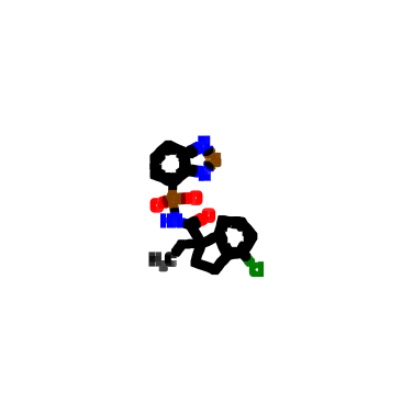 CCC1(C(=O)NS(=O)(=O)c2cccc3nsnc23)CCc2c(Cl)cccc21